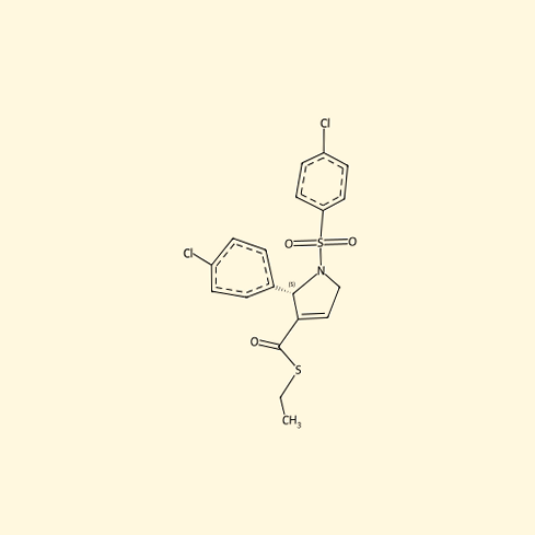 CCSC(=O)C1=CCN(S(=O)(=O)c2ccc(Cl)cc2)[C@H]1c1ccc(Cl)cc1